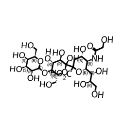 O=C(CO)N[C@H]1[C@H]([C@H](O)[C@H](O)CO)OC(C(=O)O)(C2(O)O[C@H](CO)[C@@H](O[C@@H]3O[C@H](CO)[C@H](O)[C@H](O)[C@H]3O)[C@H](O)[C@H]2O)C[C@@H]1O